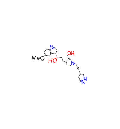 COc1ccc2nccc(C(O)CC[C@@H]3CCN(CC#Cc4ccnnc4)C[C@@H]3CO)c2c1